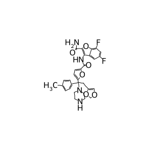 Cc1ccc(C(CC2=COCO2)(c2ccc(C(=O)Nc3c(C(N)=O)oc4c(F)cc(F)cc34)o2)N2CCNCC2)cc1